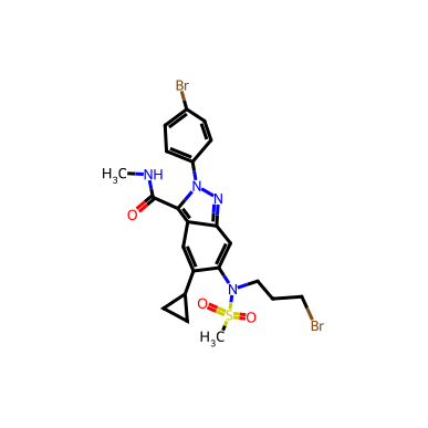 CNC(=O)c1c2cc(C3CC3)c(N(CCCBr)S(C)(=O)=O)cc2nn1-c1ccc(Br)cc1